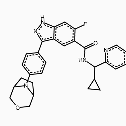 O=C(NC(c1ccccn1)C1CC1)c1cc2c(-c3ccc(N4C5CCC4COC5)cc3)n[nH]c2cc1F